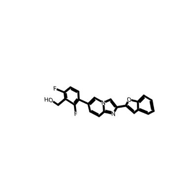 OCc1c(F)ccc(-c2ccc3nc(-c4cc5ccccc5o4)cn3c2)c1F